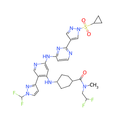 CN(CC(F)F)C(=O)C1CCC(Nc2cc(Nc3ccnc(-c4cnn(S(=O)(=O)C5CC5)c4)n3)ncc2-c2ccn(C(F)F)n2)CC1